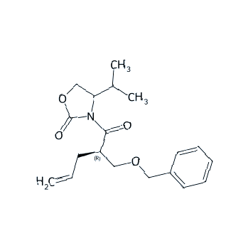 C=CC[C@H](COCc1ccccc1)C(=O)N1C(=O)OCC1C(C)C